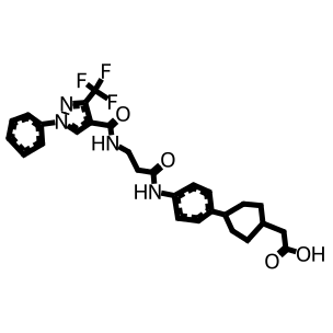 O=C(O)CC1CCC(c2ccc(NC(=O)CCNC(=O)c3cn(-c4ccccc4)nc3C(F)(F)F)cc2)CC1